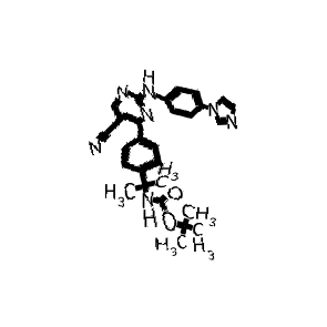 CC(C)(C)OC(=O)NC(C)(C)c1ccc(-c2nc(Nc3ccc(-n4ccnc4)cc3)ncc2C#N)cc1